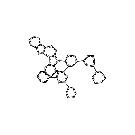 c1ccc(-c2cccc(-c3ccc(-n4c5ccccc5c5c6sc7ccccc7c6ccc54)c(-c4nc(-c5ccccc5)nc(-c5ccccc5)n4)c3)c2)cc1